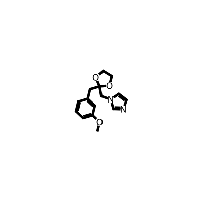 COc1cccc(CC2(Cn3ccnc3)OCCO2)c1